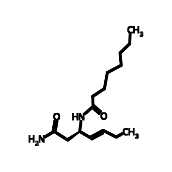 CC/C=C/[C@@H](CC(N)=O)NC(=O)CCCCCCC